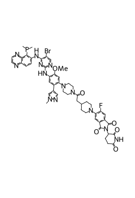 COc1cc(N2CCN(C(=O)CC3CCN(c4cc5c(cc4F)C(=O)N(C4CCC(=O)NC4=O)C5=O)CC3)CC2)c(-c2cnn(C)c2)cc1Nc1ncc(Br)c(Nc2ccc3nccnc3c2P(C)C)n1